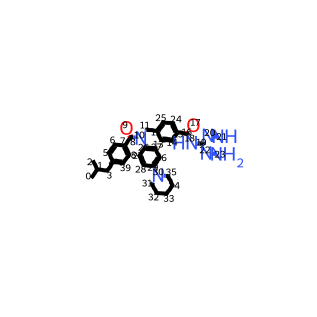 CC(C)Cc1ccc(C(=O)N(Cc2ccc(C(=O)N/C(N=N)=N/N)cc2)c2ccc(N3CCCCC3)cc2)cc1